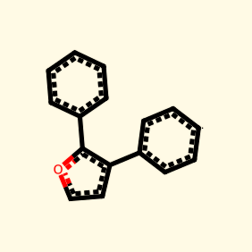 [c]1ccc(-c2ccoc2-c2ccccc2)cc1